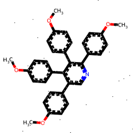 COc1ccc(-c2cnc(-c3ccc(OC)cc3)c(-c3ccc(OC)cc3)c2-c2ccc(OC)cc2)cc1